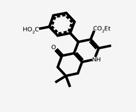 CCOC(=O)C1=C(C)NC2=C(C(=O)CC(C)(C)C2)C1c1cccc(C(=O)O)c1